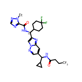 CCn1ncnc1C(=O)N[C@H](c1cn2ncc(C(NC(=O)CCC(F)(F)F)C3CC3)cc2n1)C1CCC(F)(F)CC1